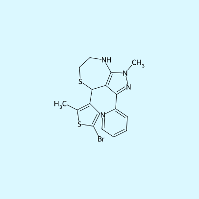 Cc1sc(Br)cc1C1SCCNc2c1c(-c1ccccn1)nn2C